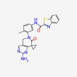 Cc1ccc(NC(=O)c2nc3ccccc3s2)cc1N1Cc2cnc(N)nc2C2(CC2)C1=O